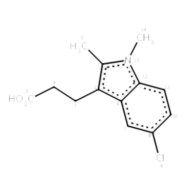 Cc1c(CCC(=O)O)c2cc(Cl)ccc2n1C